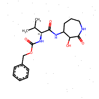 CC(C)[C@H](NC(=O)OCc1ccccc1)C(=O)NC1CCCNC(=O)C1O